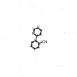 N#Cc1ccccc1-c1c[c]ccn1